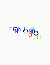 O=C(NC1CCC(CNc2ccc(F)cn2)CC1)c1cc(Cl)ccc1Cl